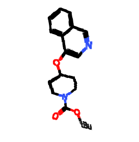 CC(C)(C)OC(=O)N1CCC(Oc2cncc3ccccc23)CC1